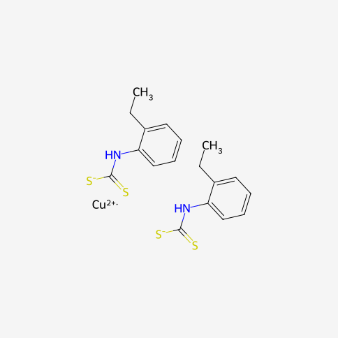 CCc1ccccc1NC(=S)[S-].CCc1ccccc1NC(=S)[S-].[Cu+2]